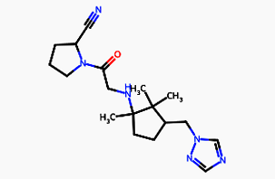 CC1(NCC(=O)N2CCCC2C#N)CCC(Cn2cncn2)C1(C)C